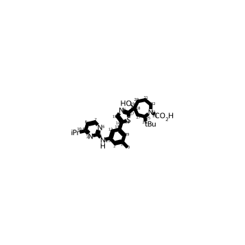 Cc1cc(Nc2nccc(C(C)C)n2)cc(-c2cnc([C@@]3(O)CCCN(C(=O)O)C(C(C)(C)C)C3)s2)c1